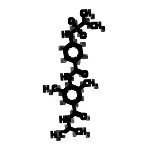 Cc1cc(C(=O)NC(C)C)cc(C)c1NC(=O)c1ccc(NS(=O)(=O)C(C)C)cc1